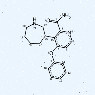 NC(=O)c1nccc(Oc2ccccc2)c1C1CCCCNC1